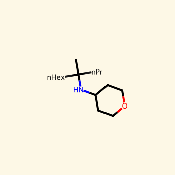 CCCCCCC(C)(CCC)NC1CCOCC1